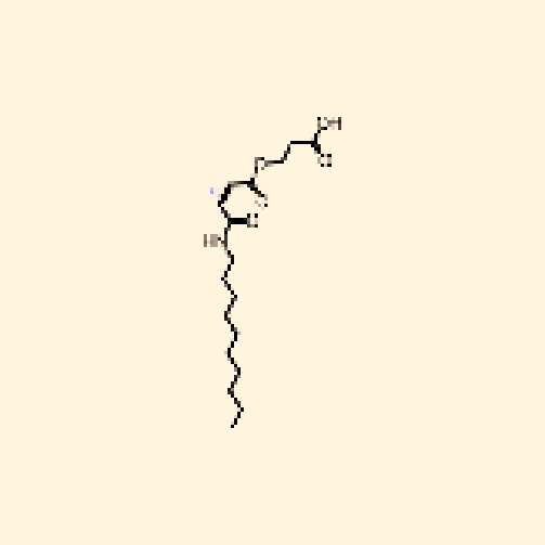 CCCCCCCCCCNC(=O)/C=C\C(=O)OCCC(=O)O